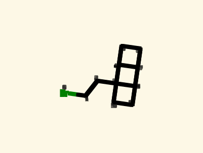 BrCCC12C3C4C5C3C1C5C42